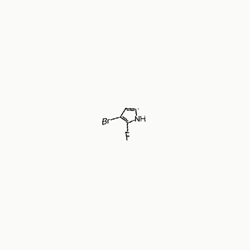 Fc1[nH][c]cc1Br